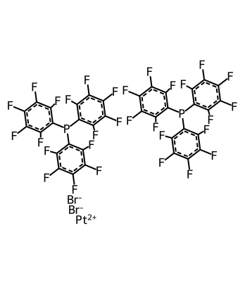 Fc1c(F)c(F)c(P(c2c(F)c(F)c(F)c(F)c2F)c2c(F)c(F)c(F)c(F)c2F)c(F)c1F.Fc1c(F)c(F)c(P(c2c(F)c(F)c(F)c(F)c2F)c2c(F)c(F)c(F)c(F)c2F)c(F)c1F.[Br-].[Br-].[Pt+2]